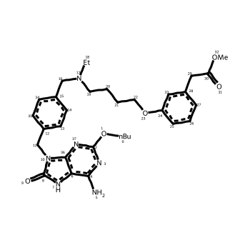 CCCCOc1nc(N)c2[nH]c(=O)n(Cc3ccc(CN(CC)CCCCOc4cccc(CC(=O)OC)c4)cc3)c2n1